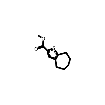 COC(=O)c1cc2c(s1)CCCCC2